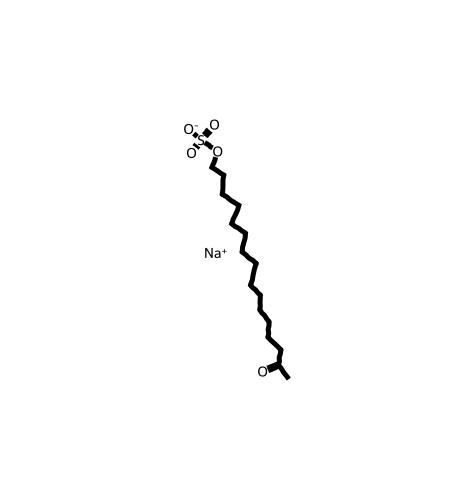 CC(=O)CCCCCCCCCCCCCCOS(=O)(=O)[O-].[Na+]